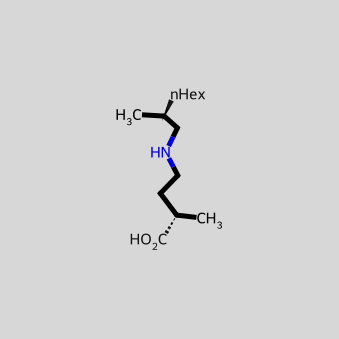 CCCCCC[C@H](C)CNCC[C@H](C)C(=O)O